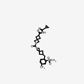 CS(=O)(=O)c1cc(C(F)(F)F)ccc1CC1CC2(C1)CN(C(=O)N1CC3(CC(c4nnc(C5CC5)[nH]4)C3)C1)C2